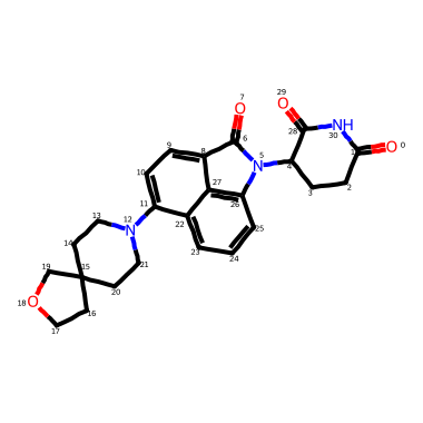 O=C1CCC(N2C(=O)c3ccc(N4CCC5(CCOC5)CC4)c4cccc2c34)C(=O)N1